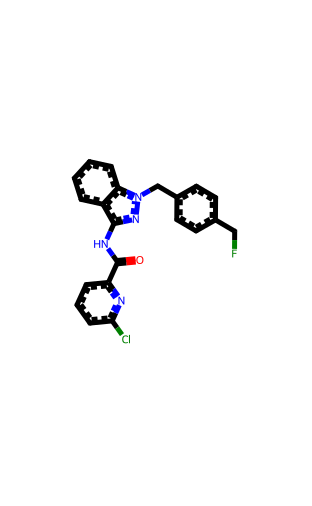 O=C(Nc1nn(Cc2ccc(CF)cc2)c2ccccc12)c1cccc(Cl)n1